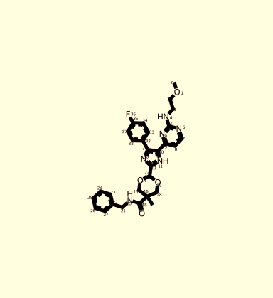 COCCNc1nccc(-c2[nH]c(C3OCC(C)(C(=O)NCc4ccccc4)CO3)nc2-c2ccc(F)cc2)n1